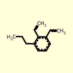 C=Cc1cccc(CCC)c1C=C